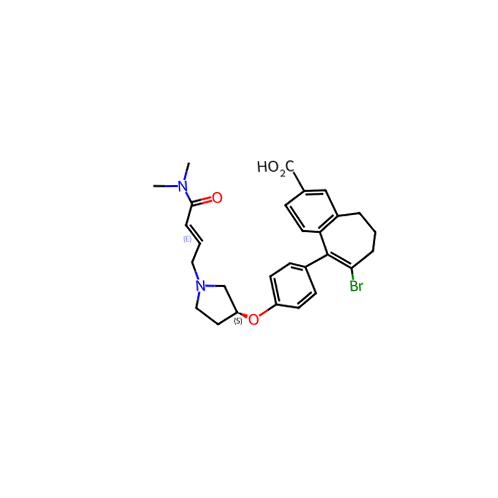 CN(C)C(=O)/C=C/CN1CC[C@H](Oc2ccc(C3=C(Br)CCCc4cc(C(=O)O)ccc43)cc2)C1